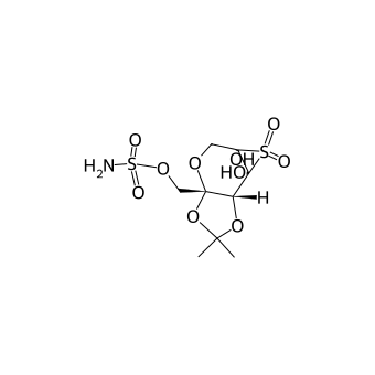 CC1(C)O[C@@H]2[C@@](COS(N)(=O)=O)(OC[C@@]3(O)[C@]2(O)S3(=O)=O)O1